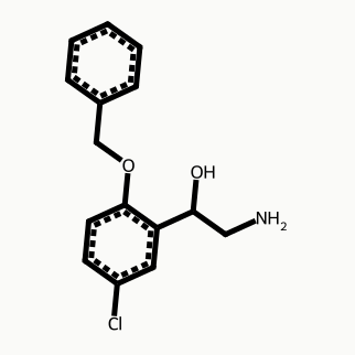 NCC(O)c1cc(Cl)ccc1OCc1ccccc1